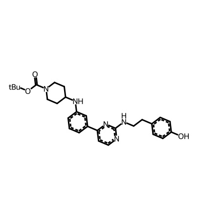 CC(C)(C)OC(=O)N1CCC(Nc2cccc(-c3ccnc(NCCc4ccc(O)cc4)n3)c2)CC1